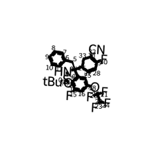 CC(C)(C)[S@+]([O-])N[C@@](Cc1ccccc1)(c1cc(F)cc(OC(F)(F)C(F)F)c1)C1C=CC(F)=C(C#N)C1